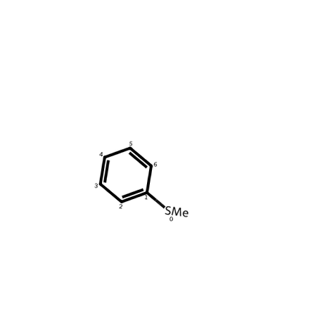 [CH]Sc1ccccc1